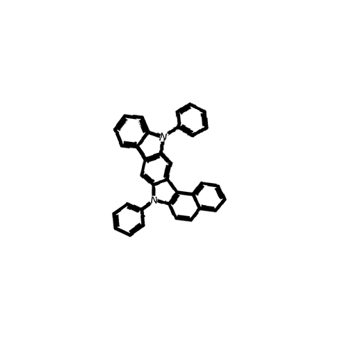 c1ccc(-n2c3ccccc3c3cc4c(cc32)c2c3ccccc3ccc2n4-c2ccccc2)cc1